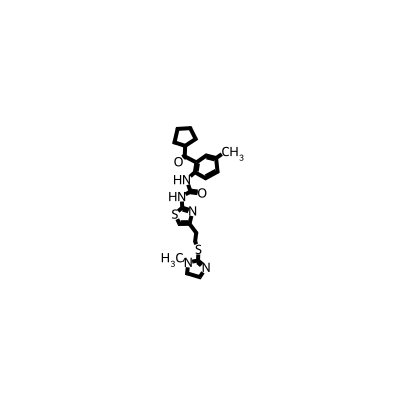 Cc1ccc(NC(=O)Nc2nc(CCSC3=NCCN3C)cs2)c(C(=O)C2CCCC2)c1